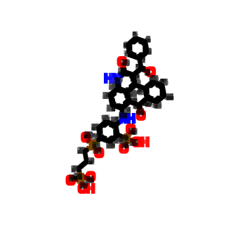 O=C(c1ccccc1)c1c2c3c(c(Nc4ccc(S(=O)(=O)CCCS(=O)(=O)O)cc4S(=O)(=O)O)ccc3[nH]c1=O)C(=O)c1ccccc1-2